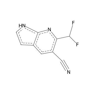 N#Cc1cc2cc[nH]c2nc1C(F)F